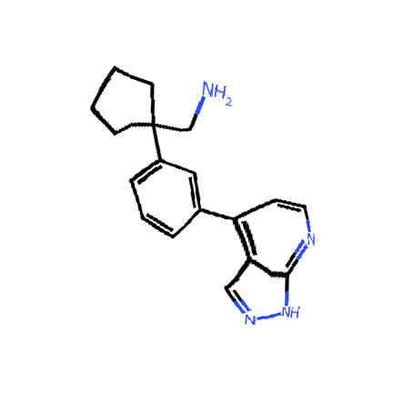 NCC1(c2cccc(-c3ccnc4[nH]ncc34)c2)CCCC1